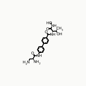 C[C@@H](O)[C@H](NC(=O)c1ccc(-c2ccc(NC(=O)[C@@H](N)CN)cc2)cc1)C(=O)NO